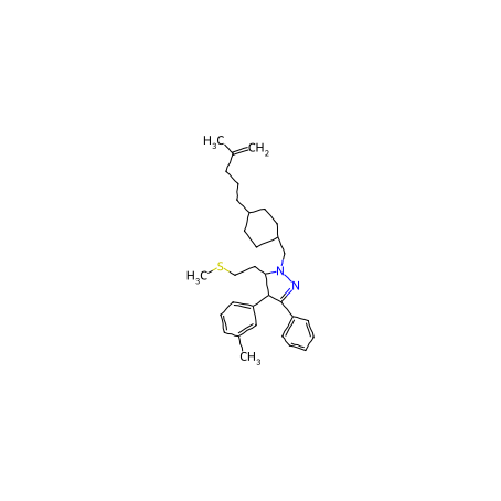 C=C(C)CCCC1CCC(CN2N=C(c3ccccc3)C(c3cccc(C)c3)C2CCSC)CC1